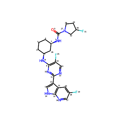 O=C(N[C@@H]1CCC[C@H](Nc2nc(-c3c[nH]c4ncc(F)cc34)ncc2F)C1)N1CCC(F)C1